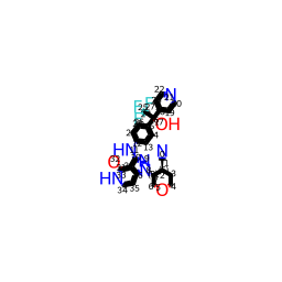 N#C[C@H]1CCOC[C@@H]1n1nc(Nc2ccc(C(O)(c3ccncc3)C(F)(F)F)cc2)c2c(=O)[nH]ccc21